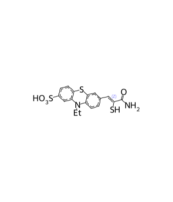 CCN1c2ccc(/C=C(\S)C(N)=O)cc2Sc2ccc(S(=O)(=O)O)cc21